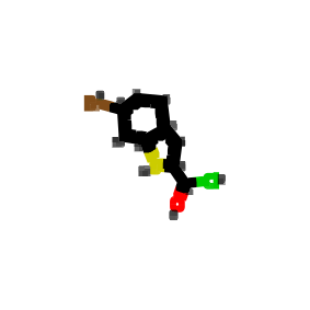 O=C(Cl)c1cc2ccc(Br)cc2s1